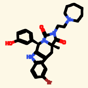 C[C@@]12Cc3c([nH]c4ccc(Br)cc34)[C@@H](c3cccc(O)c3)N1C(=O)N(CCN1CCCCCC1)C2=O